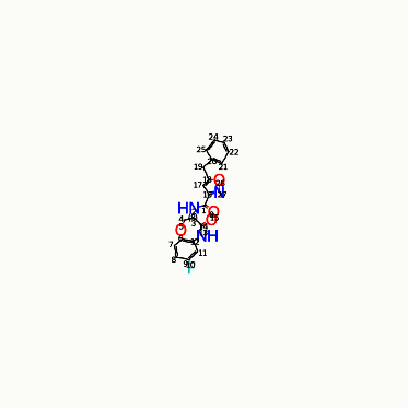 O=C(N[C@H]1COc2ccc(F)cc2NC1=O)c1cc(Cc2ccccc2)on1